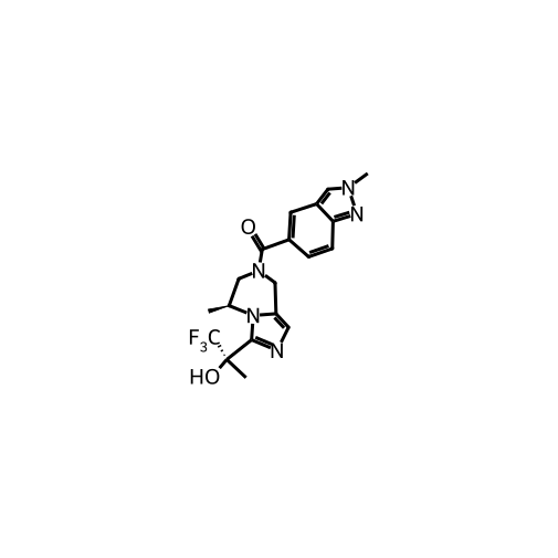 C[C@H]1CN(C(=O)c2ccc3nn(C)cc3c2)Cc2cnc([C@@](C)(O)C(F)(F)F)n21